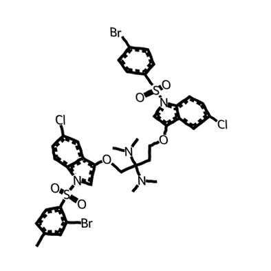 Cc1ccc(S(=O)(=O)n2cc(OCC(CCOc3cn(S(=O)(=O)c4ccc(Br)cc4)c4ccc(Cl)cc34)(N(C)C)N(C)C)c3cc(Cl)ccc32)c(Br)c1